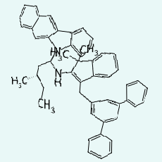 CC[C@H](C)CC(NC1=C(Cc2cc(-c3ccccc3)cc(-c3ccccc3)c2)c2ccccc2C1(C)C)n1c2ccccc2c2cc3ccccc3cc21